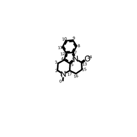 CN1CCc2c3n(c4ccccc24)C(=O)CCC31